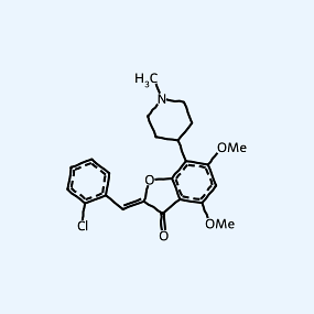 COc1cc(OC)c(C2CCN(C)CC2)c2c1C(=O)/C(=C/c1ccccc1Cl)O2